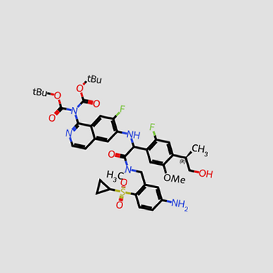 COc1cc(C(Nc2cc3ccnc(N(C(=O)OC(C)(C)C)C(=O)OC(C)(C)C)c3cc2F)C(=O)N(C)Cc2cc(N)ccc2S(=O)(=O)C2CC2)c(F)cc1[C@@H](C)CO